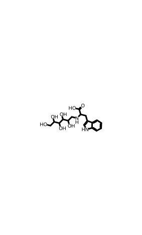 O=C(O)C(Cc1c[nH]c2ccccc12)NCC(O)C(O)C(O)C(O)CO